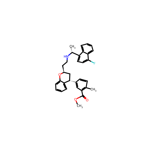 COC(=O)c1cc([C@H]2C[C@H](CCN[C@H](C)c3ccc(F)c4ccccc34)Oc3ccccc32)ccc1C